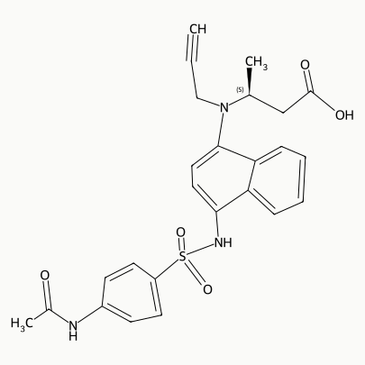 C#CCN(c1ccc(NS(=O)(=O)c2ccc(NC(C)=O)cc2)c2ccccc12)[C@@H](C)CC(=O)O